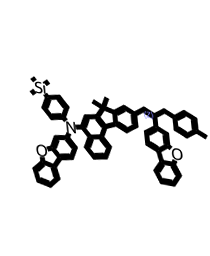 Cc1ccc(C/C(=C/c2ccc3c(c2)C(C)(C)c2cc(N(c4ccc([Si](C)(C)C)cc4)c4ccc5c(c4)oc4ccccc45)c4ccccc4c2-3)c2ccc3c(c2)oc2ccccc23)cc1